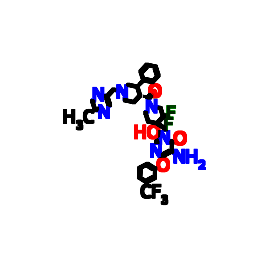 Cc1cnc(CN2CC[C@@H](C(=O)N3CC[C@](O)(Cn4cnc(Oc5cccc(C(F)(F)F)c5)c(N)c4=O)C(F)(F)C3)[C@H](c3ccccc3)C2)cn1